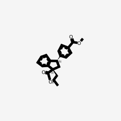 CCC[C@]1(C(=O)O)C[C@@H](c2ccc(C(=O)OC)cc2)c2ccccc21